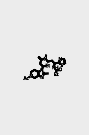 C=C(CC(CC)n1c(C)nc2c1CCN(C(C)=O)C2)N(C)CCC(NC(=O)CC)c1nccs1